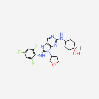 [2H][C@]1(O)CC[C@H](Nc2ncc3nc(Nc4c(F)cc(F)cc4F)n([C@H]4CCOC4)c3n2)CC1